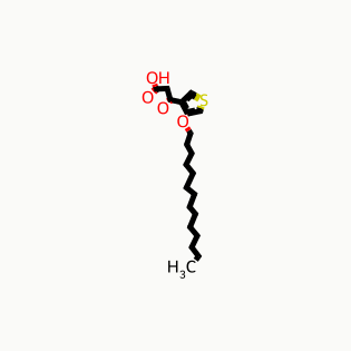 CCCCCCCCCCCCCCOc1cscc1C(=O)CC(=O)O